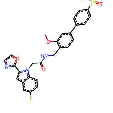 COc1cc(-c2ccc(S(C)(=N)=O)cc2)ccc1CNC(=O)Cn1c(-c2ncco2)cc2cc(F)ccc21